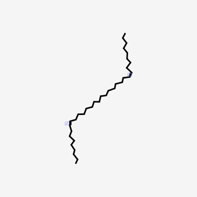 CCCCCCCC/C=C\CCCCCCCCCCCCCC/C=C\CCCCCCCC